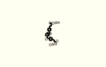 COC(=O)/C=C/c1ccc(C(=O)C2CCC(C)(C(=O)c3ccc(/C=C/C(=O)OC)cc3)C2(C)C)cc1